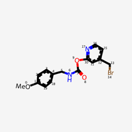 COc1ccc(CNC(=O)Oc2cc(CBr)ccn2)cc1